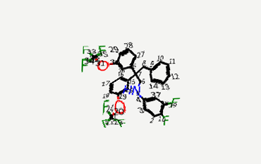 Fc1ccc(NCC(Cc2ccccc2)(c2cccc(OC(F)(F)F)c2)c2cccc(OC(F)(F)F)c2)cc1F